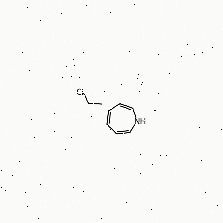 C1=CC=CNC=C1.CCCl